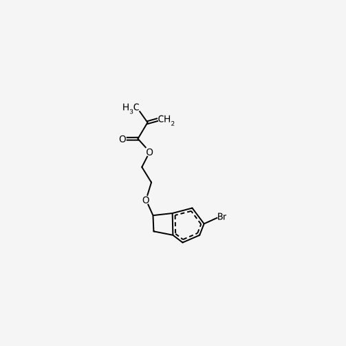 C=C(C)C(=O)OCCOC1Cc2ccc(Br)cc21